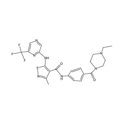 CCN1CCN(C(=O)c2ccc(NC(=O)c3c(C)nsc3Nc3cncc(C(F)(F)F)n3)cc2)CC1